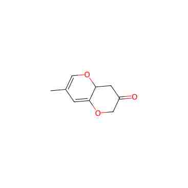 CC1=COC2CC(=O)COC2=C1